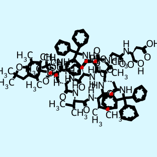 CC[C@H](C)[C@H](NC(=O)[C@@H](NC(=O)[C@H](CC(=O)OC(C)(C)C)NC(=O)[C@H](CC(=O)NC(c1ccccc1)(c1ccccc1)c1ccccc1)NC(=O)OC(C)(C)C)C(C)C)C(=O)N[C@@H](CC(=O)NC(c1ccccc1)(c1ccccc1)c1ccccc1)C(=O)N[C@@H](CCCNC(=N)NS(=O)(=O)c1c(C)c(C)c2c(c1C)CC(C)(C)O2)C(=O)NCC(=O)N[C@@H](CC(=O)O)C(=O)O